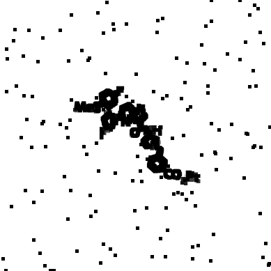 CCOC(=O)c1cccc(CN2CCC(NC(=O)c3cnc4ccc(N5C[C@@H](F)C[C@@H]5c5cc(F)ccc5SC)nn34)C2)c1